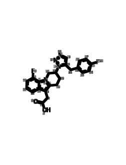 O=C(O)Cc1c2n(c3c(F)cccc13)CC(n1nncc1Cc1ccc(F)cc1)CC2